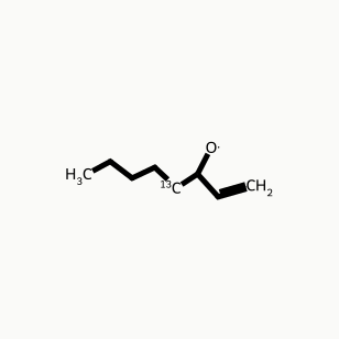 C=CC([O])[13CH2]CCCC